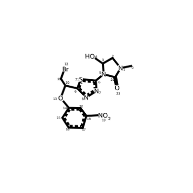 CN1CC(O)N(c2nnc(C(CBr)Oc3cccc([N+](=O)[O-])c3)s2)C1=O